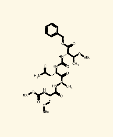 CCCCOC[C@H](NC(=O)OC(C)(C)C)C(=O)NN(C)C(=O)[C@H](CC(N)=O)NC(=O)N[C@H](C(=O)OCc1ccccc1)C(C)OCCCC